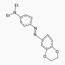 CCN(CC)c1ccc(/N=N/c2ccc3c(c2)OCCO3)cc1